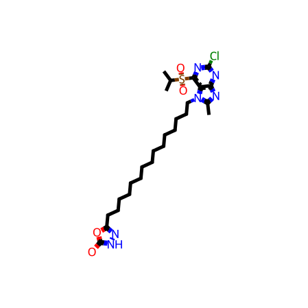 Cc1nc2nc(Cl)nc(S(=O)(=O)C(C)C)c2n1CCCCCCCCCCCCCCCc1n[nH]c(=O)o1